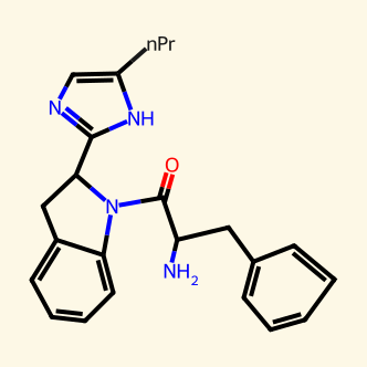 CCCc1cnc(C2Cc3ccccc3N2C(=O)C(N)Cc2ccccc2)[nH]1